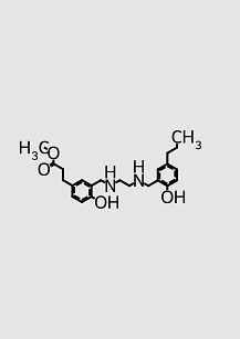 CCCc1ccc(O)c(CNCCNCc2cc(CCC(=O)OC)ccc2O)c1